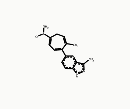 CC1=CCC([S+](N)[O-])=CC=C1c1ccc2[nH]nc(N)c2n1